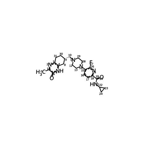 Cc1nc2c([nH]c1=O)C[C@@H](CN1CCN(c3ccc(C(=O)NC4CC4)nc3F)CC1)CC2